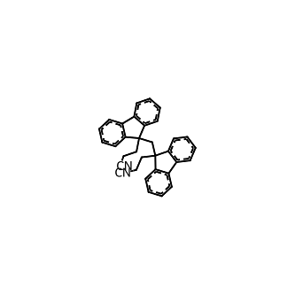 [C-]#[N+]CCC1(CC2(CCC#N)c3ccccc3-c3ccccc32)c2ccccc2-c2ccccc21